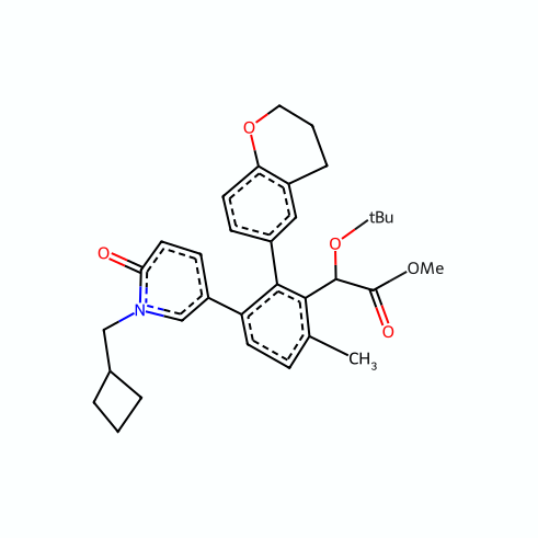 COC(=O)C(OC(C)(C)C)c1c(C)ccc(-c2ccc(=O)n(CC3CCC3)c2)c1-c1ccc2c(c1)CCCO2